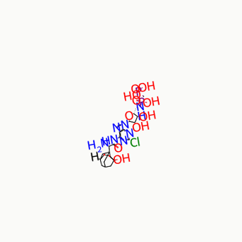 NC(C(=O)Nc1nc(Cl)nc2c1ncn2[C@@H]1O[C@H](CNP(=O)(O)CP(=O)(O)O)C(O)C1O)C12CC3C[C@@H](CCC(O)(C3)C1)C2